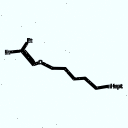 CCCCCCCCCCCCOC=C(CC)CC